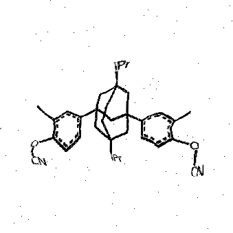 Cc1cc(C23CC4(c5ccc(OC#N)c(C)c5)CC(C(C)C)(C2)CC(C(C)C)(C3)C4)ccc1OC#N